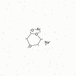 C1COCCO1.CC(=O)[O-].[Na+]